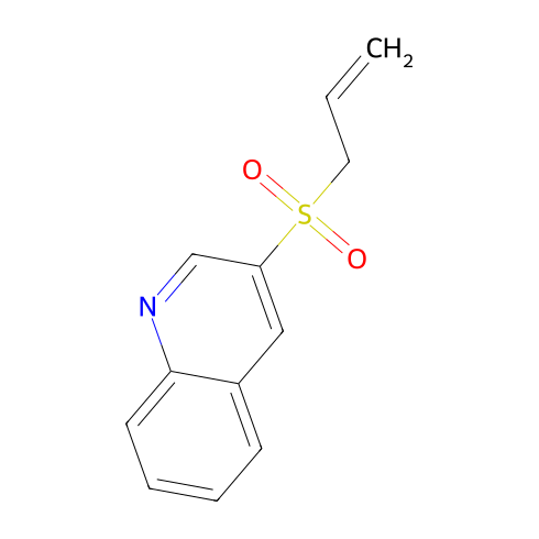 C=CCS(=O)(=O)c1cnc2ccccc2c1